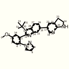 COc1ccc(-n2cccn2)c(-c2nc3cc(-c4cnc5c(c4)CCN5)ccc3n2C(C)(C)C)c1